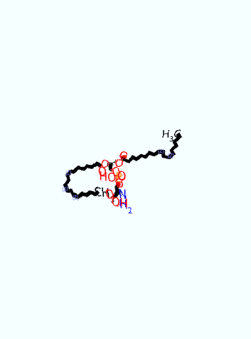 CCCCC/C=C\C/C=C\C/C=C\CCCCCCC(=O)O[C@H](COC(=O)CCCCCCC/C=C\C/C=C\CCCCC)COP(=O)(O)OC[C@H](N)C(=O)O